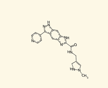 CN1C=C(CNC(=O)c2nc3cc4c(-c5ccncc5)n[nH]c4cc3[nH]2)CN1